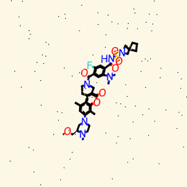 COC[C@H]1CN(c2cc(C)c3c4c(c(=O)oc3c2C)CN(C(=O)c2cc(N(C)C)c(C(=O)NS(=O)(=O)N3CC5(CCC5)C3)cc2F)CC4)CCN1C